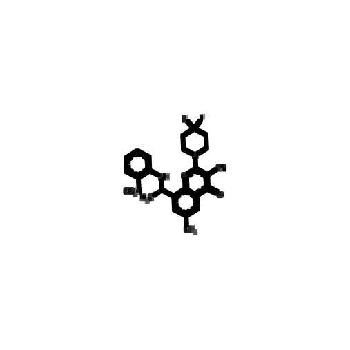 Cc1cc([C@@H](C)Nc2ccccc2C(=O)O)c2oc(N3CCC(F)(F)CC3)c(C#N)c(=O)c2c1